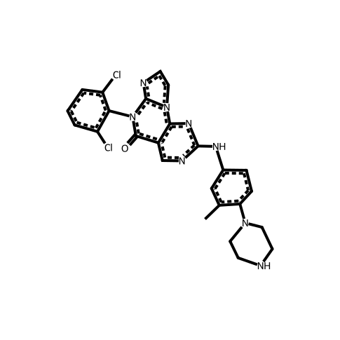 Cc1cc(Nc2ncc3c(=O)n(-c4c(Cl)cccc4Cl)c4nccn4c3n2)ccc1N1CCNCC1